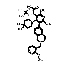 COc1ncccc1CN1CCc2cc(-c3c(C)nc(C)c([C@H](OC(C)(C)C)C(=O)O)c3N3CCC(C)(C)CC3)ccc2C1